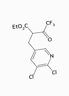 CCOC(=O)C(Cc1cnc(Cl)c(Cl)c1)C(=O)C(F)(F)F